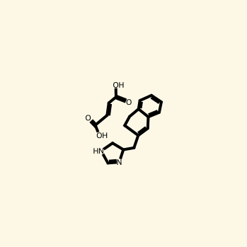 C1=NC(CC2=Cc3ccccc3CC2)CN1.O=C(O)C=CC(=O)O